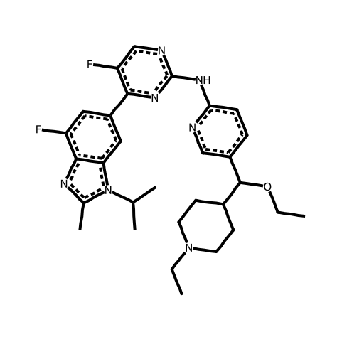 CCOC(c1ccc(Nc2ncc(F)c(-c3cc(F)c4nc(C)n(C(C)C)c4c3)n2)nc1)C1CCN(CC)CC1